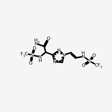 NC(=O)C(NS(=O)(=O)C(F)(F)F)c1ncn(C=CNS(=O)(=O)C(F)(F)F)n1